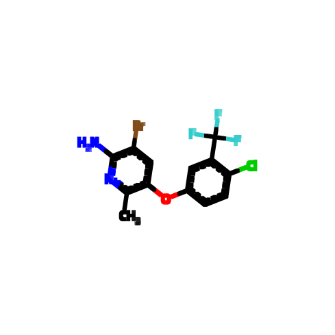 Cc1nc(N)c(Br)cc1Oc1ccc(Cl)c(C(F)(F)F)c1